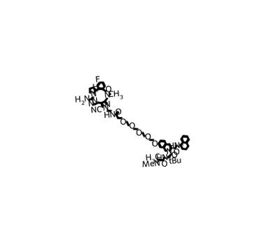 CN[C@@H](C)C(=O)N[C@H](C(=O)N1Cc2cc(OCCOCCOCCOCCOCCC(=O)NCCn3nc4c(c3C#N)-c3cnc(N)c(n3)N3CCC[C@@H]3c3cc(F)ccc3C(=O)N(C)C4)ccc2C[C@H]1C(=O)N[C@@H]1CCCc2ccccc21)C(C)(C)C